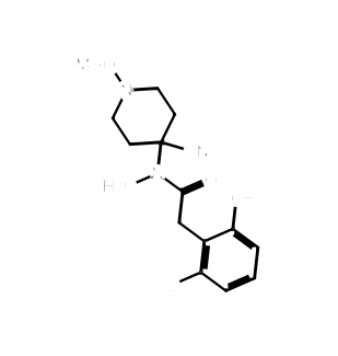 CON1CCC(C#N)(N(C)C(=O)Cc2c(C)cccc2C)CC1